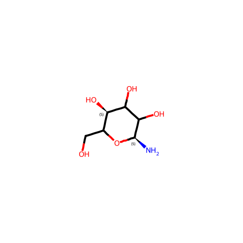 N[C@H]1OC(CO)[C@@H](O)C(O)C1O